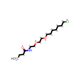 O=C(O)CCC(=O)NCCOCCOCCCCCCCCl